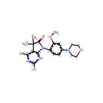 COc1cc(N2CCOCC2)ccc1N1C(=O)C(C)(C)c2c(Cl)nc(Cl)nc21